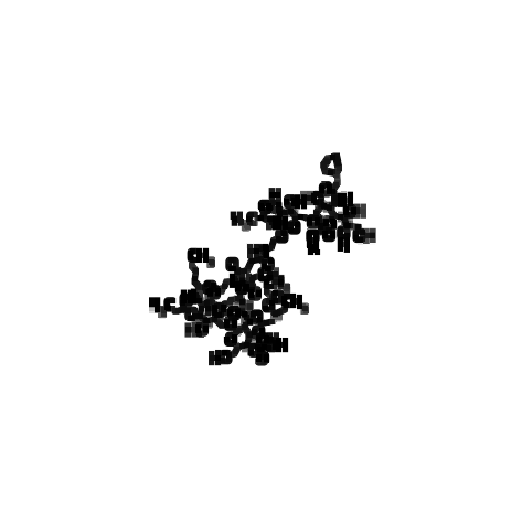 CCCCC(=O)NC1[C@H](OCCNC(=O)CCC(=O)NCCOC2OC(CO[C@]3(C(=O)O)C[C@@H](O)[C@@H](NC(=O)Cc4ccccc4)C([C@H](O)[C@H](O)CO)O3)[C@H](O)[C@H](O)[C@@H]2NC(C)=O)OC(CO[C@@H]2OC(CO)[C@@H](OP(=O)(O)O)[C@H](OC(=O)C[C@@H](CC)OC(=O)CC)C2NC(=O)C[C@@H](CC)OC(=O)CC)[C@@H](O)[C@@H]1OC(=O)CC